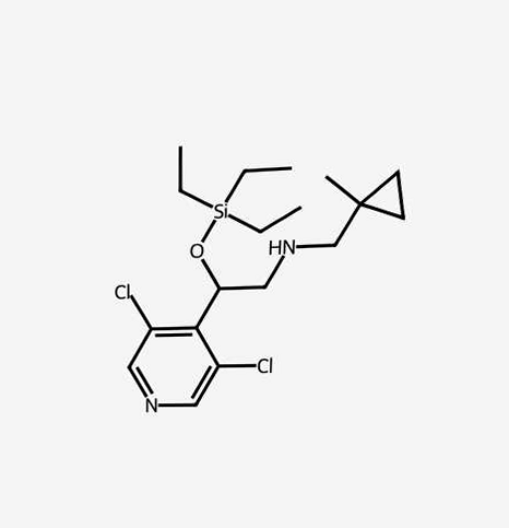 CC[Si](CC)(CC)OC(CNCC1(C)CC1)c1c(Cl)cncc1Cl